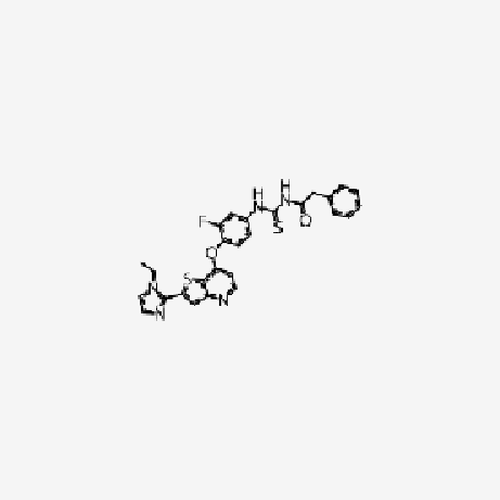 CCn1ccnc1-c1cc2nccc(Oc3ccc(NC(=S)NC(=O)Cc4ccccc4)cc3F)c2s1